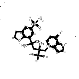 CC(C)(CC(O)(Cn1ccc(=O)c2occc21)C(F)(F)F)c1cc(S(C)(=O)=O)cc2c1OCC2